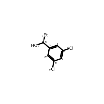 CC[C@H](O)c1cc(Cl)cc(Cl)c1